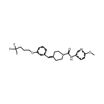 COc1ccc(NC(=O)N2CCC(=Cc3cccc(OCCCC(F)(F)F)c3)CC2)cn1